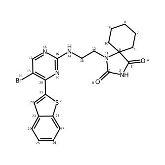 O=C1NC(=O)C2(CCCCC2)N1CCNc1ncc(Br)c(-c2cc3ccccc3s2)n1